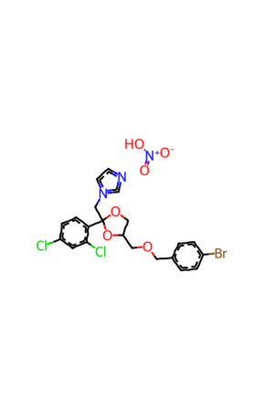 Clc1ccc(C2(Cn3ccnc3)OCC(COCc3ccc(Br)cc3)O2)c(Cl)c1.O=[N+]([O-])O